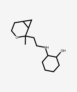 CC1(CCNC2CCCCC2O)OCCC2CC21